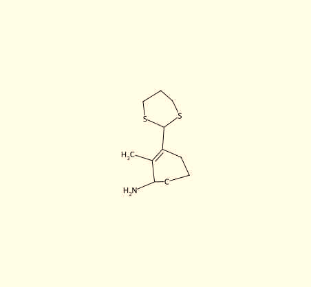 CC1=C(C2SCCCS2)CCCC1N